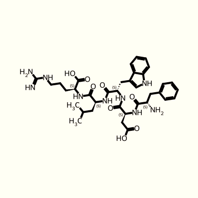 CC(C)C[C@H](NC(=O)[C@H](Cc1c[nH]c2ccccc12)NC(=O)[C@H](CC(=O)O)NC(=O)[C@@H](N)Cc1ccccc1)C(=O)N[C@@H](CCCNC(=N)N)C(=O)O